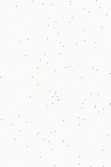 CCOC(=O)C1CN(Cc2ccccc2)CCN1Cc1ccccc1.Cl.Cl